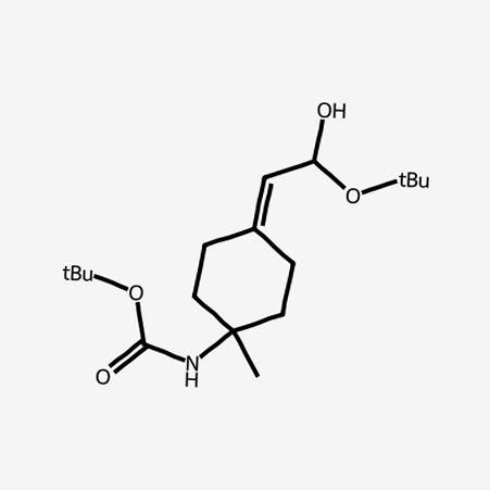 CC1(NC(=O)OC(C)(C)C)CCC(=CC(O)OC(C)(C)C)CC1